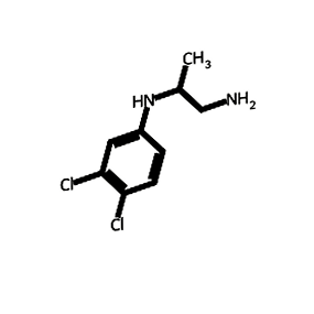 CC(CN)Nc1ccc(Cl)c(Cl)c1